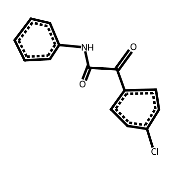 O=C(Nc1ccccc1)C(=O)c1ccc(Cl)cc1